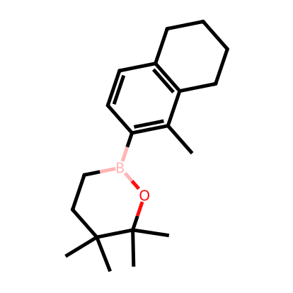 Cc1c(B2CCC(C)(C)C(C)(C)O2)ccc2c1CCCC2